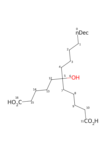 CCCCCCCCCCCCCCC(O)(CCCCC(=O)O)CCCCC(=O)O